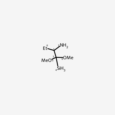 CCC(N)C([SiH3])(OC)OC